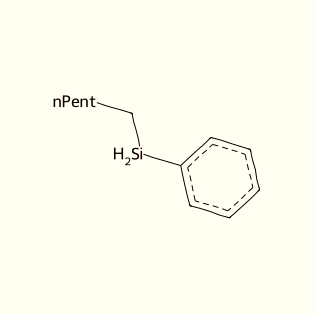 CCCCCC[SiH2]c1ccccc1